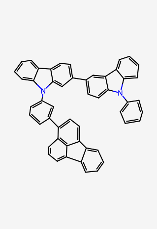 c1ccc(-n2c3ccccc3c3cc(-c4ccc5c6ccccc6n(-c6cccc(-c7ccc8c9c(cccc79)-c7ccccc7-8)c6)c5c4)ccc32)cc1